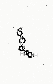 CC(C)N1CCC(N2CCCN(c3cccc(-c4cc5c([nH]4)C=CNC5)n3)CC2)CC1